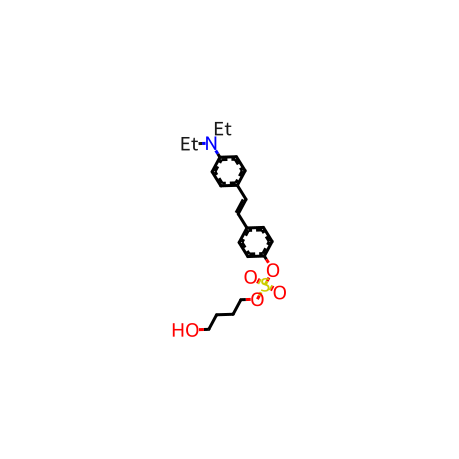 CCN(CC)c1ccc(C=Cc2ccc(OS(=O)(=O)OCCCCO)cc2)cc1